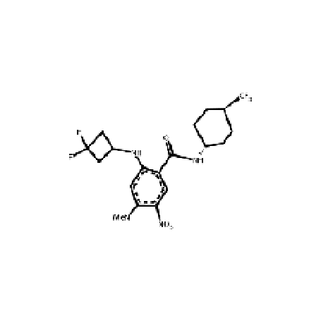 CNc1cc(NC2CC(F)(F)C2)c(C(=O)N[C@H]2CC[C@H](C(F)(F)F)CC2)cc1[N+](=O)[O-]